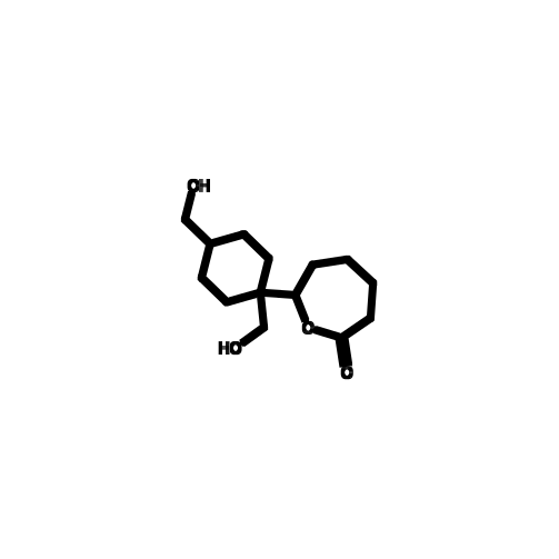 O=C1CCCCC(C2(CO)CCC(CO)CC2)O1